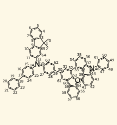 CC1(C)c2ccccc2-c2ccc(N(c3ccc(-c4ccccc4)cc3)c3ccc(-c4cc(-c5cccc6c5c5ccccc5n6-c5ccccc5)c5oc6ccccc6c5c4)cc3)cc21